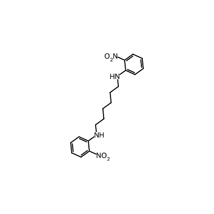 O=[N+]([O-])c1ccccc1NCCCCCCNc1ccccc1[N+](=O)[O-]